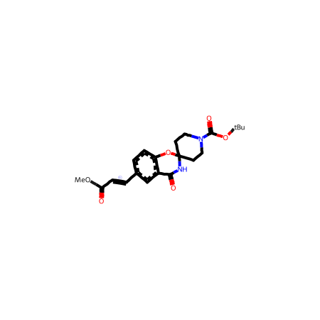 COC(=O)/C=C/c1ccc2c(c1)C(=O)NC1(CCN(C(=O)OC(C)(C)C)CC1)O2